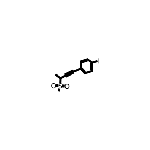 CC(C#Cc1ccc(I)cc1)S(C)(=O)=O